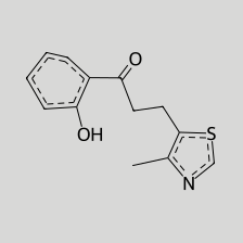 Cc1ncsc1CCC(=O)c1ccccc1O